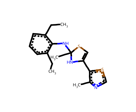 CCc1cccc(CC)c1NC1(C)NC(c2scnc2C)=CS1